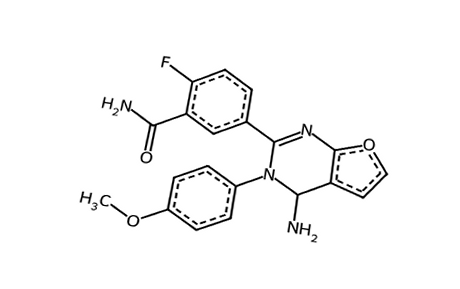 COc1ccc(N2C(c3ccc(F)c(C(N)=O)c3)=Nc3occc3C2N)cc1